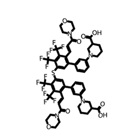 O=C(O)C1CCCN(c2cccc(-c3cc(Sc4cc(-c5cccc(N6CCCC(C(=O)O)C6)c5)c(/C=C/C(=O)N5CCOCC5)c(C(F)(F)F)c4C(F)(F)F)c(C(F)(F)F)c(C(F)(F)F)c3/C=C/C(=O)N3CCOCC3)c2)C1